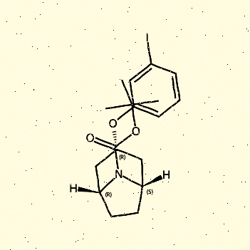 CC(C)(C)OC(=O)N1[C@@H]2CC[C@H]1C[C@@H](Oc1cccc(I)c1)C2